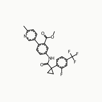 COC(=O)c1cc(NC(=O)C2(c3ccc(C(F)(F)F)cc3F)CC2)ccc1-c1ccc(C)nc1